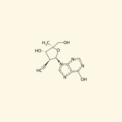 C#C[C@@H]1[C@H](n2cnc3c(O)ncnc32)O[C@](C)(CO)[C@H]1O